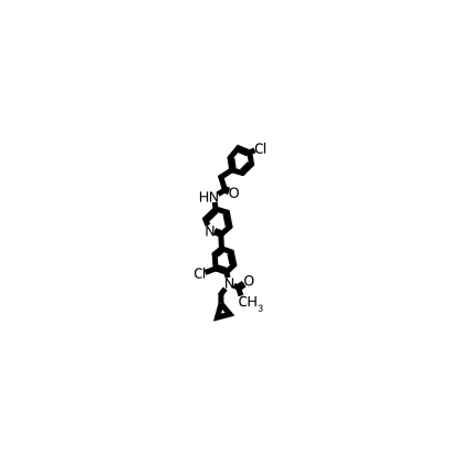 CC(=O)N(CC1CC1)c1ccc(-c2ccc(NC(=O)Cc3ccc(Cl)cc3)cn2)cc1Cl